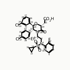 CC[C@@H](CN(c1ncccc1F)S(=O)(=O)C1CC1)N1C(=O)[C@@H](CC(=O)O)O[C@H](c2cccc(Cl)c2)[C@H]1c1ccc(Cl)cc1